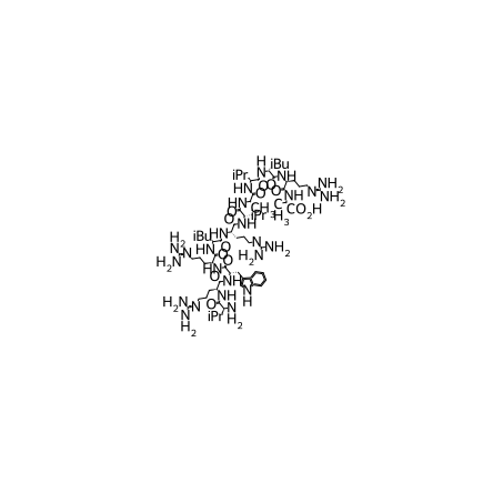 CC[C@H](C)[C@H](NC(=O)[C@H](CCCN=C(N)N)NC(=O)[C@H](Cc1c[nH]c2ccccc12)NC(=O)[C@H](CCCN=C(N)N)NC(=O)[C@@H](N)C(C)C)C(=O)N[C@@H](CCCN=C(N)N)C(=O)N[C@H](C(=O)N[C@@H](C)C(=O)N[C@H](C(=O)N[C@H](C(=O)N[C@@H](CCCN=C(N)N)C(=O)N[C@@H](C)C(=O)O)[C@@H](C)CC)C(C)C)C(C)C